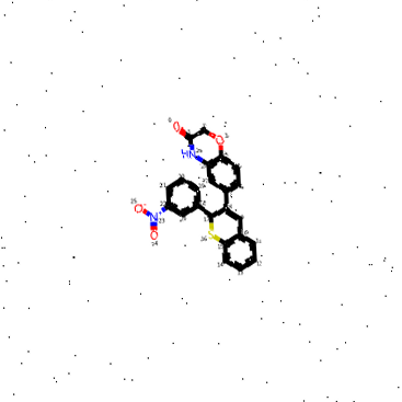 O=C1COc2ccc(C3=Cc4ccccc4SC3c3cccc([N+](=O)[O-])c3)cc2N1